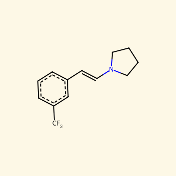 FC(F)(F)c1cccc(C=CN2CCCC2)c1